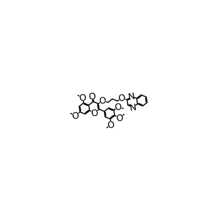 COc1cc(OC)c2c(=O)c(OCCCOc3cnc4ccccc4n3)c(-c3cc(OC)c(OC)c(OC)c3)oc2c1